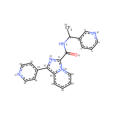 O=C(NC(c1cccnc1)C(F)(F)F)c1nc(-c2ccncc2)c2ccccn12